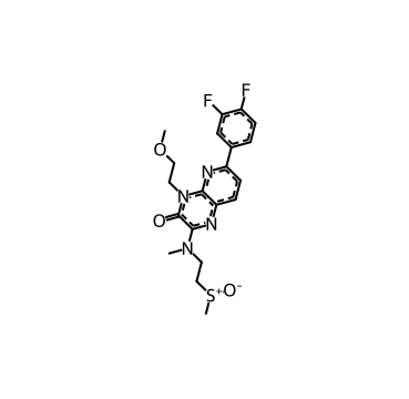 COCCn1c(=O)c(N(C)CC[S+](C)[O-])nc2ccc(-c3ccc(F)c(F)c3)nc21